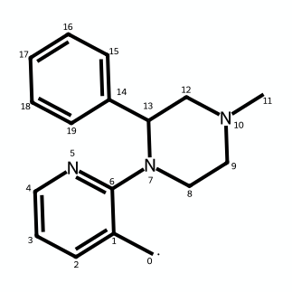 [CH2]c1cccnc1N1CCN(C)CC1c1ccccc1